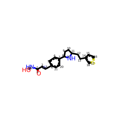 O=C(/C=C/c1ccc(C2CCC(CCc3ccsc3)N2)cc1)NO